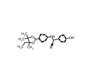 CCC1(C)OB(c2ccc(NC(C#N)c3ccc(O)cc3)cc2)OC1(C)C